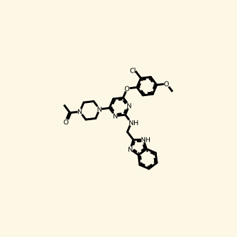 COc1ccc(Oc2cc(N3CCN(C(C)=O)CC3)nc(NCc3nc4ccccc4[nH]3)n2)c(Cl)c1